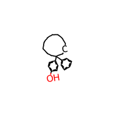 Oc1ccc(C2(c3ccccc3)CCCCCCCCCCC2)cc1